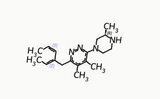 C/C=C\C(=C/C)Cc1nnc(N2CCN[C@H](C)C2)c(C)c1C